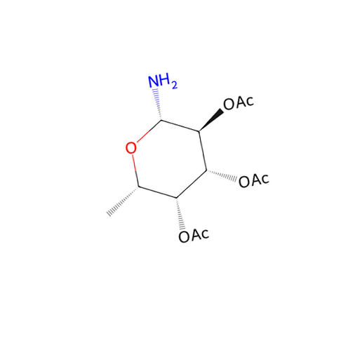 CC(=O)O[C@@H]1[C@H](OC(C)=O)[C@H](C)O[C@H](N)[C@H]1OC(C)=O